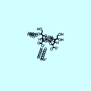 O.O.O.O.O.O.O.O.O.O=C([O-])[C@@H]1[O][Sb]2([O-])([O][Sb]34([OH])[O][C@H]([C@H](O)CO)[C@H]([O]3)[C@H](C(=O)[O-])[O]4)[O][C@H]([C@H](O)CO)[C@@H]1[O]2.[Na+].[Na+].[Na+]